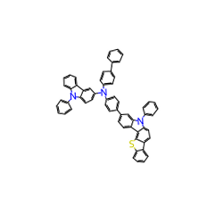 c1ccc(-c2ccc(N(c3ccc(-c4ccc5c6c7sc8ccccc8c7ccc6n(-c6ccccc6)c5c4)cc3)c3ccc4c(c3)c3ccccc3n4-c3ccccc3)cc2)cc1